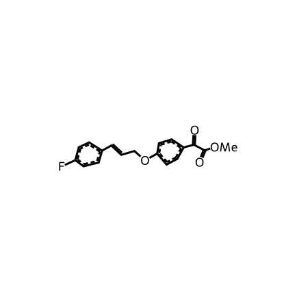 COC(=O)C(=O)c1ccc(OCC=Cc2ccc(F)cc2)cc1